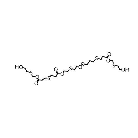 O=C(CCSCCC(=O)OCSCCO)OCCSCCOOCCCSCCC(=O)OCSCCO